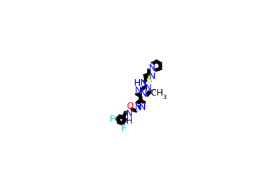 Cc1cn2c(-c3cnn(CC(=O)NCc4cc(F)cc(F)c4)c3)cnc2c(Nc2cc(CN3CCCCC3)ns2)n1